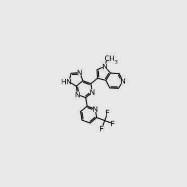 Cn1cc(-c2nc(-c3cccc(C(F)(F)F)n3)nc3[nH]cnc23)c2ccncc21